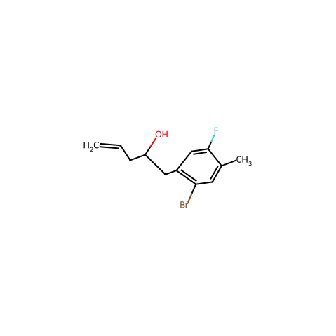 C=CCC(O)Cc1cc(F)c(C)cc1Br